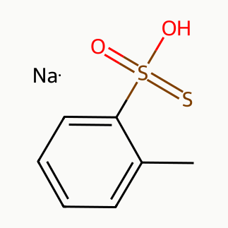 Cc1ccccc1S(=O)(O)=S.[Na]